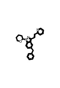 C(=Cc1nn(C2CCCCO2)c2ccc(Cc3ccccc3)cc12)c1ccccn1